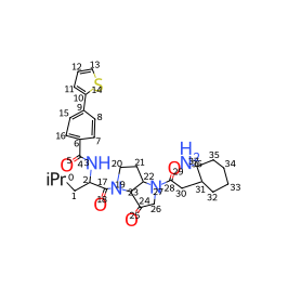 CC(C)CC(NC(=O)c1ccc(-c2cccs2)cc1)C(=O)N1CCC2C1C(=O)CN2C(=O)CC1CCCCC1N